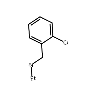 CC[N]Cc1ccccc1Cl